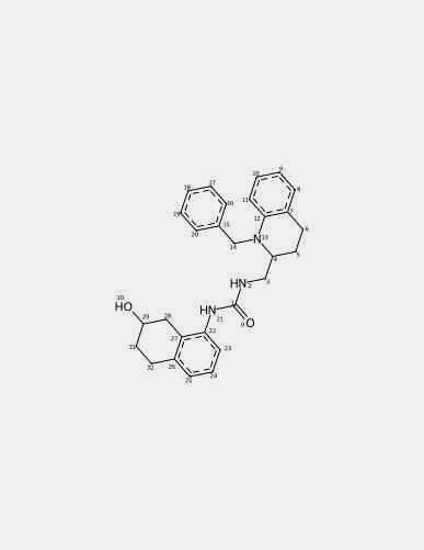 O=C(NCC1CCc2ccccc2N1Cc1ccccc1)Nc1cccc2c1CC(O)CC2